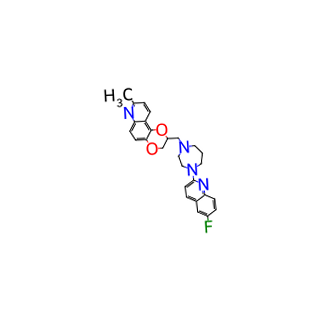 Cc1ccc2c3c(ccc2n1)OCC(CN1CCCN(c2ccc4cc(F)ccc4n2)CC1)O3